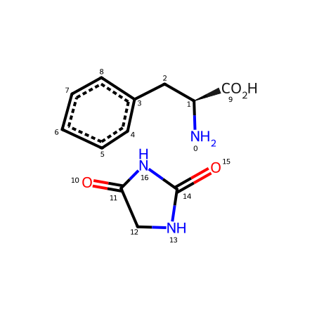 N[C@@H](Cc1ccccc1)C(=O)O.O=C1CNC(=O)N1